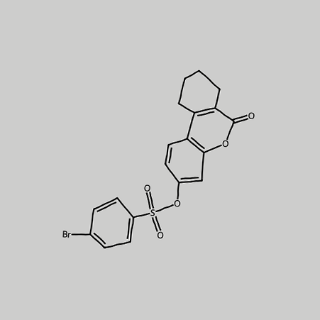 O=c1oc2cc(OS(=O)(=O)c3ccc(Br)cc3)ccc2c2c1CCCC2